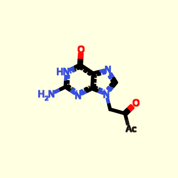 CC(=O)C(=O)Cn1cnc2c(=O)[nH]c(N)nc21